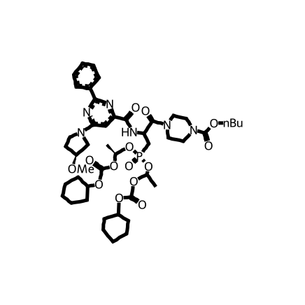 CCCCOC(=O)N1CCN(C(=O)C(CP(=O)(OC(C)OC(=O)OC2CCCCC2)O[C@H](C)OC(=O)OC2CCCCC2)NC(=O)c2cc(N3CC[C@H](OC)C3)nc(-c3ccccc3)n2)CC1